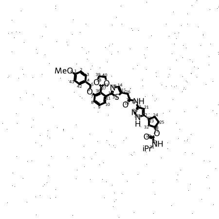 COc1ccc(COc2cccc(-c3ncc(CC(=O)Nc4cc([C@H]5CC[C@@H](OC(=O)NC(C)C)C5)[nH]n4)s3)c2C2OCCO2)cc1